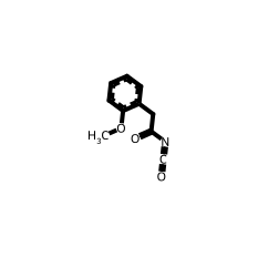 COc1ccccc1CC(=O)N=C=O